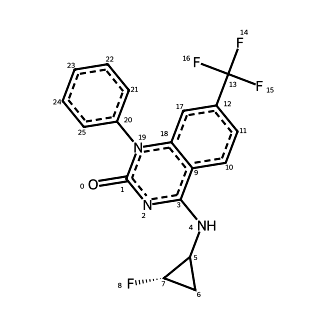 O=c1nc(NC2C[C@@H]2F)c2ccc(C(F)(F)F)cc2n1-c1ccccc1